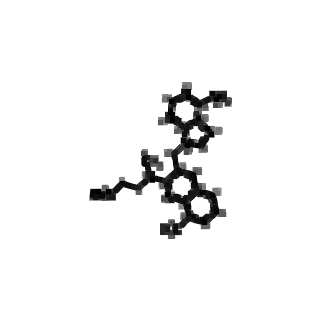 CNCCN(C)c1nc2c(C)cccc2cc1Cn1cnc2c(N)ncnc21